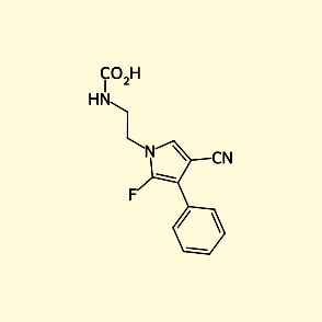 N#Cc1cn(CCNC(=O)O)c(F)c1-c1ccccc1